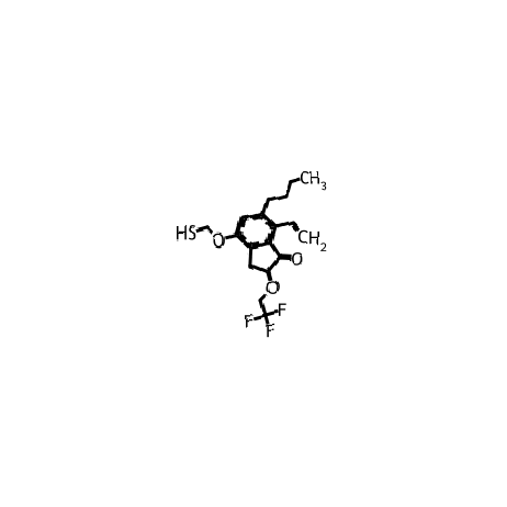 C=Cc1c(CCCC)cc(OCS)c2c1C(=O)C(OCC(F)(F)F)C2